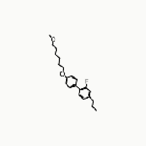 CCCc1ccc(-c2ccc(OCCCCCCOC)cc2)c(F)c1